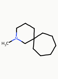 CN1CCCC2(CCCCCC2)C1